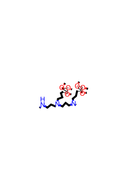 CNCCCN(CCCN(C)CCC[Si](OC)(OC)OC)CCC[Si](OC)(OC)OC